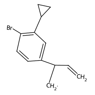 [CH2]C(C=C)c1ccc(Br)c(C2CC2)c1